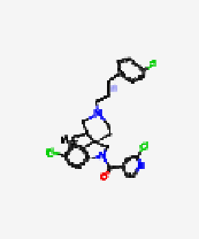 CC1CN(C/C=C/c2ccc(Cl)cc2)CCC12CN(C(=O)c1ccnc(Cl)c1)c1ccc(Cl)cc12